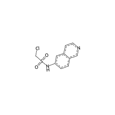 O=S(=O)(CCl)Nc1ccc2cnccc2c1